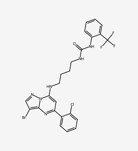 O=C(NCCCCNc1cc(-c2ccccc2Cl)nc2c(Br)cnn12)Nc1ccccc1C(F)(F)F